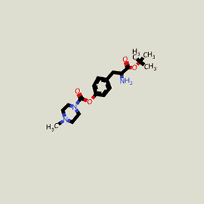 CN1CCN(C(=O)Oc2ccc(CC(N)C(=O)OC(C)(C)C)cc2)CC1